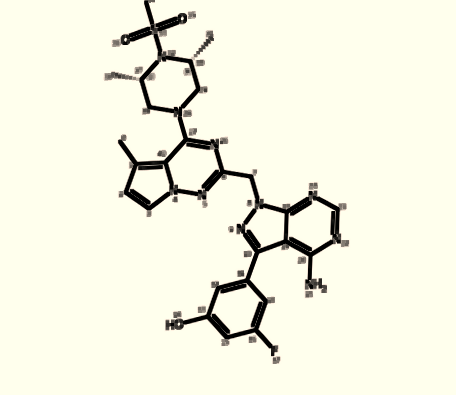 Cc1ccn2nc(Cn3nc(-c4cc(O)cc(F)c4)c4c(N)ncnc43)nc(N3C[C@@H](C)N(S(C)(=O)=O)[C@@H](C)C3)c12